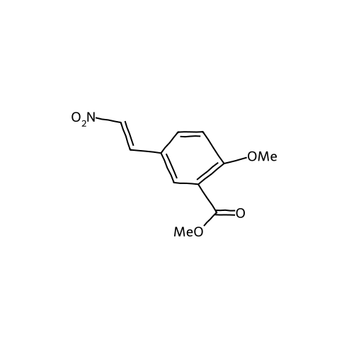 COC(=O)c1cc(/C=C/[N+](=O)[O-])ccc1OC